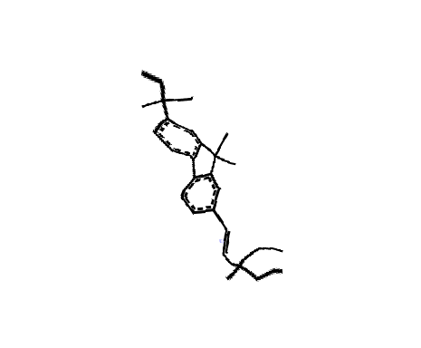 CCC(C)(/C=C/c1ccc2c(c1)C(C)(C)c1cc(C(C)(C)CC)ccc1-2)CC